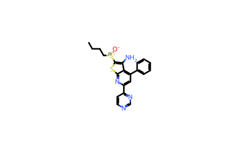 CCCC[S@@+]([O-])c1sc2nc(-c3ccncn3)cc(-c3ccccc3)c2c1N